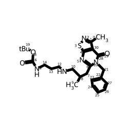 Cc1nsc2nc(CC(C)CNCCCNC(=O)OC(C)(C)C)n(Cc3ccccc3)c(=O)c12